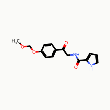 COCOc1ccc(C(=O)CNC(=O)c2ccc[nH]2)cc1